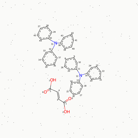 O=C(O)/C=C/C(=O)O.c1ccc(N(c2ccccc2)c2ccccc2)cc1.c1ccc(N(c2ccccc2)c2ccccc2)cc1